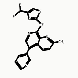 Cc1ccc2c(-c3cccnc3)cnc(Nc3nc(C(F)F)cs3)c2n1